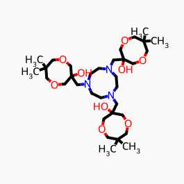 CC1(C)COCC(O)(CN2CCN(CC3(O)COCC(C)(C)COC3)CCN(CC3(O)COCC(C)(C)COC3)CC2)COC1